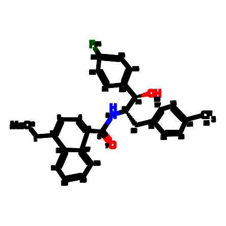 COCc1ccc(C(=O)N[C@@H](Cc2ccc(C(F)(F)F)cc2)[C@@H](O)c2ccc(F)cc2)c2ccccc12